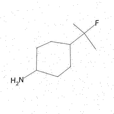 CC(C)(F)C1CCC(N)CC1